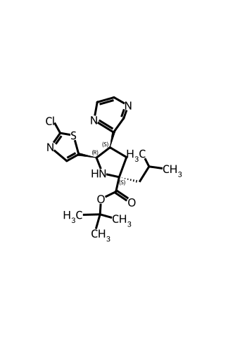 CC(C)C[C@@]1(C(=O)OC(C)(C)C)C[C@H](c2cnccn2)[C@H](c2cnc(Cl)s2)N1